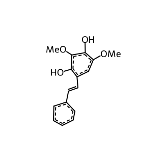 COc1cc(C=Cc2ccccc2)c(O)c(OC)c1O